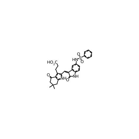 CC1(C)CC(=O)c2c([nH]c(/C=C3\C(=O)Nc4ccc(NS(=O)(=O)c5ccccc5)cc43)c2CCC(=O)O)C1